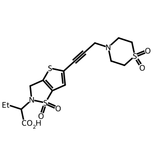 CCC(C(=O)O)N1Cc2sc(C#CCN3CCS(=O)(=O)CC3)cc2S1(=O)=O